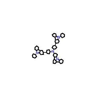 c1ccc(-n2c3ccccc3c3cc(-c4ccc(N(c5ccc(-c6ccc7c(c6)c6ccccc6n7-c6ccccc6)cc5)c5ccc6c(c5)c5cccc7c8ccccc8n6c75)cc4)ccc32)cc1